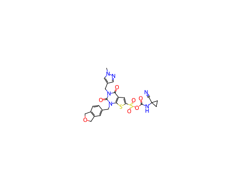 Cn1cc(Cn2c(=O)c3cc(S(=O)(=O)OC(=O)NC4(C#N)CC4)sc3n(Cc3ccc4c(c3)COC4)c2=O)cn1